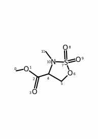 COC(=O)C1COS(=O)(=O)N1C